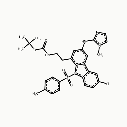 Cc1ccc(S(=O)(=O)n2c3ccc(Cl)cc3c3cc(Nc4nccn4C)cc(CCNC(=O)OC(C)(C)C)c32)cc1